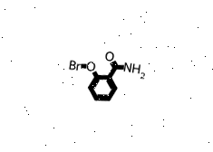 NC(=O)c1ccccc1OBr